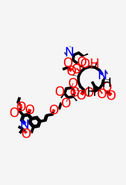 CCOC(=O)c1cn2c3c(cc(C=CCOCCO[C@H]4[C@H](C)O[C@@H](O[C@H]5[C@H](C)[C@@H](O[C@@H]6O[C@H](C)C[C@H](N(C)C)[C@H]6OC(C)=O)[C@](C)(O)C[C@@H](C)CN(C)[C@H](C)[C@H]6OC(=O)O[C@@]67C(C)[C@H]7OC(=O)[C@@H]5C)C[C@@]4(C)OC)cc3c1=O)COC2(C)C